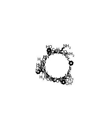 CC(C)[C@]1(C)NC(=O)[C@H](Cc2ccc(O)cc2)NC(=O)[C@H](C)NC(=O)C(C)(C)NC(=O)[C@H](Cc2c[nH]c3ncccc23)NC(=O)[C@H]([C@@H](C)O)NC(=O)[C@@H]2CCCN2C(=O)[C@H](Cc2ccc(O)cc2)NC(=O)[C@H](C(C)(C)C)NC(=O)CCSCc2cccc(c2)CSC[C@@H](C(N)=O)NC(=O)[C@H](CCCCN)NC1=O